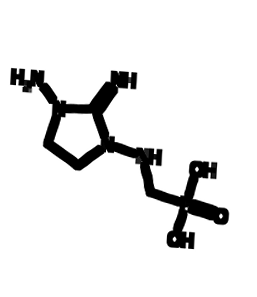 N=C1N(N)CCN1NCP(=O)(O)O